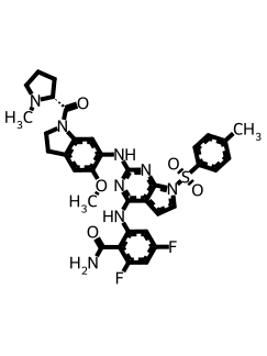 COc1cc2c(cc1Nc1nc(Nc3cc(F)cc(F)c3C(N)=O)c3ccn(S(=O)(=O)c4ccc(C)cc4)c3n1)N(C(=O)[C@H]1CCCN1C)CC2